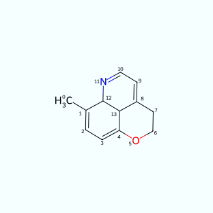 CC1=CC=C2OCCC3=CC=NC1C32